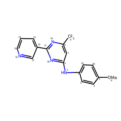 COc1ccc(Nc2cc(C(F)(F)F)nc(-c3cccnc3)n2)cc1